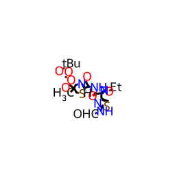 CCON=C(C(=O)NC1C(=O)N2CC(C)(C(=O)OCOC(=O)C(C)(C)C)CS[C@H]12)c1csc(NC=O)n1